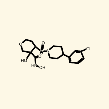 O=C(NO)C1(O)COCCC1S(=O)(=O)N1CCC(c2cccc(Cl)c2)CC1